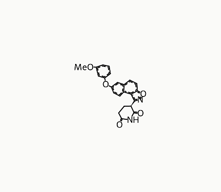 COc1cccc(Oc2ccc3c(ccc4onc([C@@H]5CCC(=O)NC5=O)c43)c2)c1